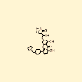 NC(=O)/C(C=O)=C(\O)CC1CC(O)=C2C(=O)c3c(O)ccc(-c4ccc(CN5CCCC5)cc4)c3CC2C1